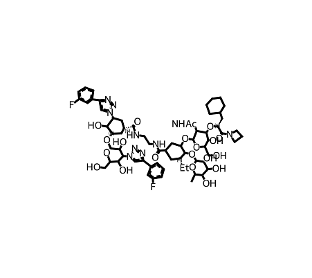 CC[C@@H]1CC(C(=O)NCCNC(=O)[C@H]2CC(n3cc(-c4cccc(F)c4)nn3)C(O)[C@H](OC3OC(CO)C(O)C(n4cc(-c5cccc(F)c5)nn4)C3O)C2)CC(OC2OC(CO)C(O)C(O[C@@H](CC3CCCCC3)C(=O)N3CCC3)C2NC(C)=O)C1OC1OC(C)C(O)C(O)C1O